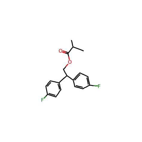 CC(C)C(=O)OCC(c1ccc(F)cc1)c1ccc(F)cc1